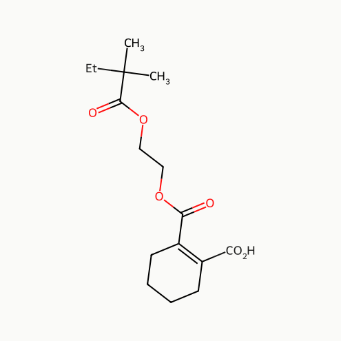 CCC(C)(C)C(=O)OCCOC(=O)C1=C(C(=O)O)CCCC1